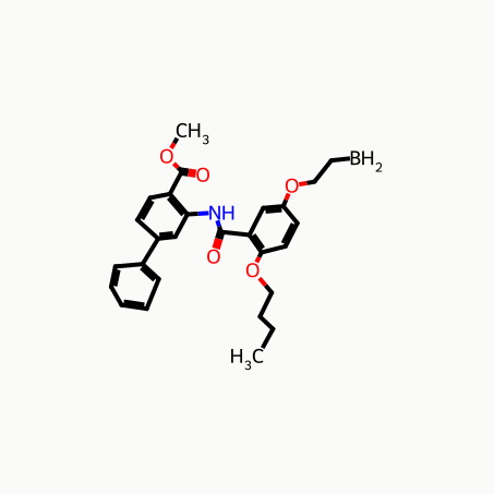 BCCOc1ccc(OCCCC)c(C(=O)Nc2cc(-c3ccccc3)ccc2C(=O)OC)c1